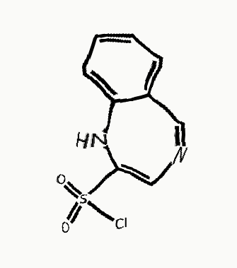 O=S(=O)(Cl)C1=CN=Cc2ccccc2N1